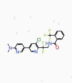 CN(C)c1ccc(-c2cnc(C(F)(F)CNC(=O)c3ccccc3C(F)(F)F)c(Cl)c2)cn1